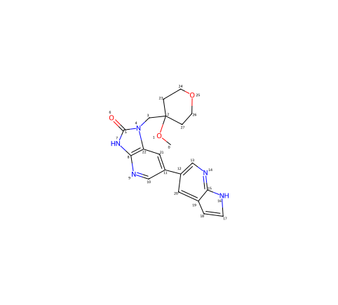 COC1(Cn2c(=O)[nH]c3ncc(-c4cnc5[nH]ccc5c4)cc32)CCOCC1